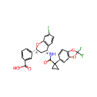 O=C(O)c1cccc([C@H]2C[C@@H](NC(=O)C3(c4ccc5c(c4)OC(F)(F)O5)CC3)c3ccc(F)cc3O2)c1